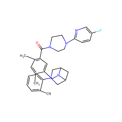 Cc1cc(C)c(C(=O)N2CCN(c3ccc(F)cn3)CC2)cc1CN1C2CC1CN(c1ccccc1C#N)C2